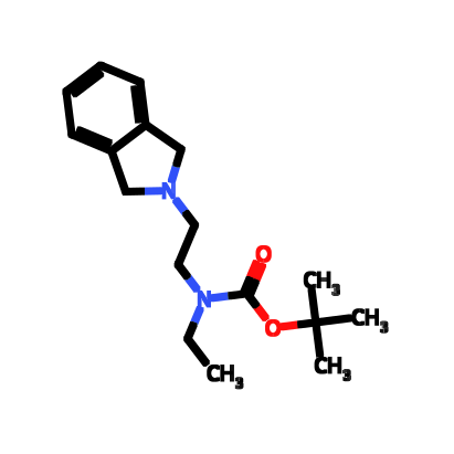 CCN(CCN1Cc2ccccc2C1)C(=O)OC(C)(C)C